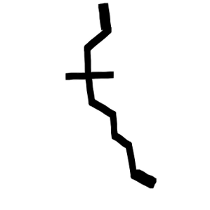 C=CCCCCC(C)(C)CC=C